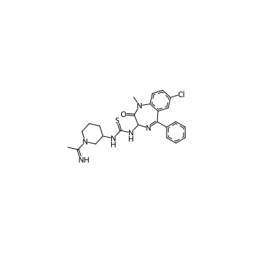 CC(=N)N1CCCC(NC(=S)NC2N=C(c3ccccc3)c3cc(Cl)ccc3N(C)C2=O)C1